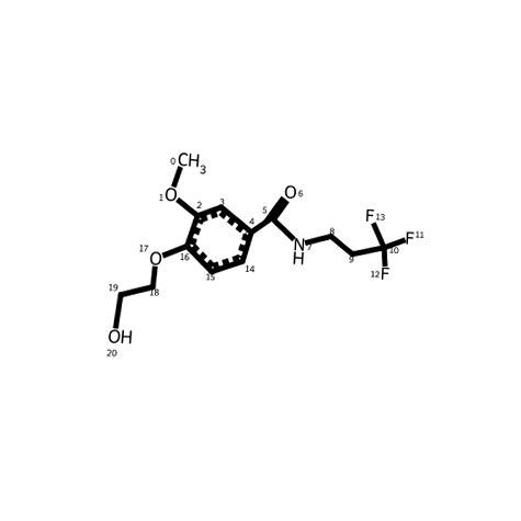 COc1cc(C(=O)NCCC(F)(F)F)ccc1OCCO